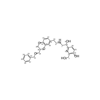 OCc1nc(C(O)CNCCc2ccc3c(c2)OC(COCc2ccccc2)CO3)ccc1O